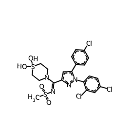 CS(=O)(=O)N=C(c1cc(-c2ccc(Cl)cc2)n(-c2ccc(Cl)cc2Cl)n1)N1CCS(O)(O)CC1